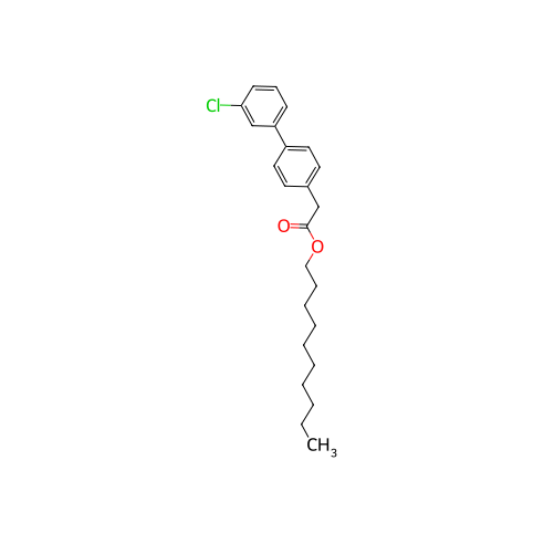 CCCCCCCCCCOC(=O)Cc1ccc(-c2cccc(Cl)c2)cc1